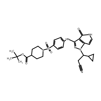 CC(C)(C)OC(=O)C1CCN(S(=O)(=O)c2ccc(Nc3nn(C(CC#N)C4CC4)c4cc[nH]c(=O)c34)cc2)CC1